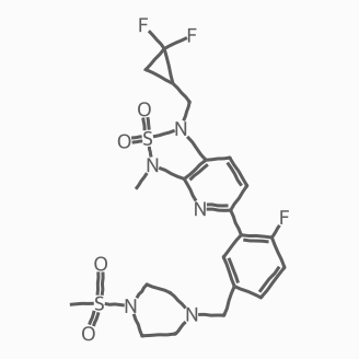 CN1c2nc(-c3cc(CN4CCN(S(C)(=O)=O)CC4)ccc3F)ccc2N(CC2CC2(F)F)S1(=O)=O